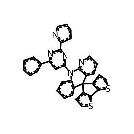 c1ccc(-c2cc(N3c4ccccc4C4(c5cccnc53)c3ccsc3-c3sccc34)nc(-c3ccccn3)n2)cc1